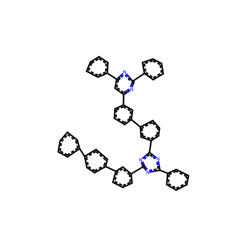 c1ccc(-c2ccc(-c3cccc(-c4nc(-c5ccccc5)nc(-c5cccc(-c6cccc(-c7cc(-c8ccccc8)nc(-c8ccccc8)n7)c6)c5)n4)c3)cc2)cc1